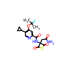 CC(C)(F)Oc1cc(C(=O)NC2(CC(N)=O)C(=O)SC2=O)ncc1C1CC1